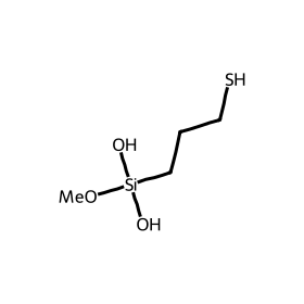 CO[Si](O)(O)CCCS